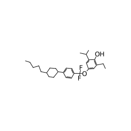 CCCCCC1CCC(c2ccc(C(F)(F)Oc3cc(CC)c(O)c(C(C)C)c3)cc2)CC1